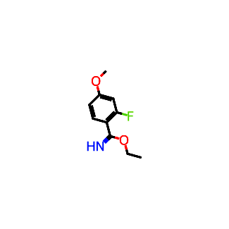 CCOC(=N)c1ccc(OC)cc1F